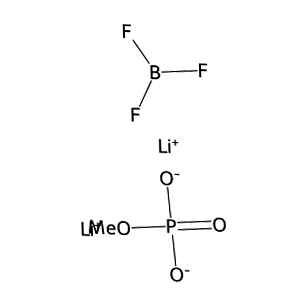 COP(=O)([O-])[O-].FB(F)F.[Li+].[Li+]